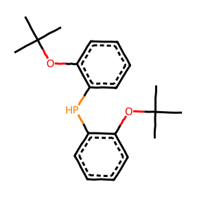 CC(C)(C)Oc1ccccc1Pc1ccccc1OC(C)(C)C